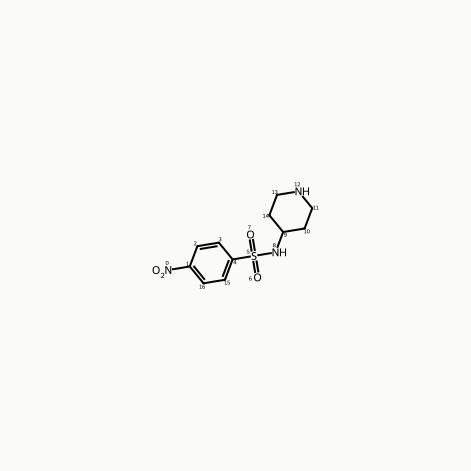 O=[N+]([O-])c1ccc(S(=O)(=O)NC2CCNCC2)cc1